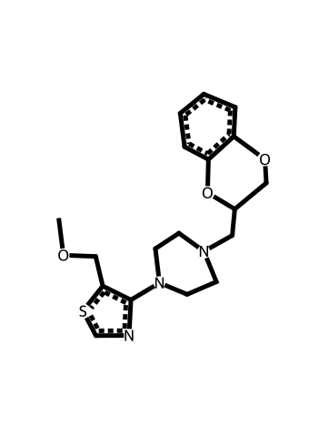 COCc1scnc1N1CCN(CC2COc3ccccc3O2)CC1